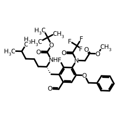 COC(=O)CN(C(=O)C(F)(F)F)c1c(OCc2ccccc2)cc(C=O)c(C[C@H](CCCC(C)C)NC(=O)OC(C)(C)C)c1F